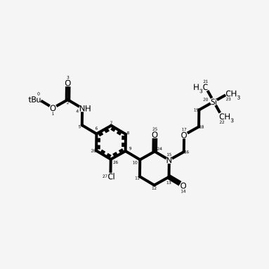 CC(C)(C)OC(=O)NCc1ccc(C2CCC(=O)N(COCC[Si](C)(C)C)C2=O)c(Cl)c1